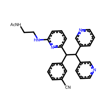 CC(=O)NCCNc1cccc(C(c2cccc(C#N)c2)C(c2cccnc2)c2cccnc2)n1